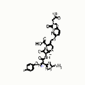 Nc1nc(/C(=N/Oc2ccc(F)cc2)C(=O)NC2C(=O)N3C(C(=O)O)=C(CSc4ccc5nn(CC(=O)O)c(=O)n5n4)CS[C@H]23)ns1